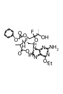 CCOc1nc(N)nc2c1ncn2[C@@H](CF)O[C@](F)(CO[P@@](=O)(NC(C)C(=O)OC(C)C)Oc1ccccc1)[C@H](C)O